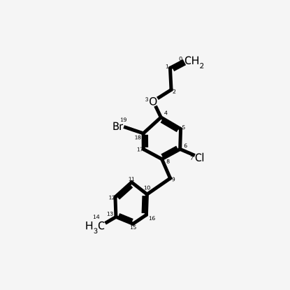 C=CCOc1cc(Cl)c(Cc2ccc(C)cc2)cc1Br